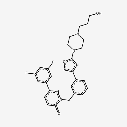 O=c1ccc(-c2cc(F)cc(F)c2)nn1Cc1cccc(-c2noc(N3CCN(CCCO)CC3)n2)c1